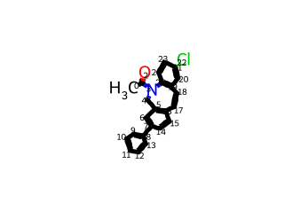 CC(=O)N1Cc2cc(-c3ccccc3)ccc2C=Cc2cc(Cl)ccc21